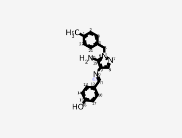 Cc1ccc(Cn2ncc(/N=C/c3ccc(O)cc3)c2N)cc1